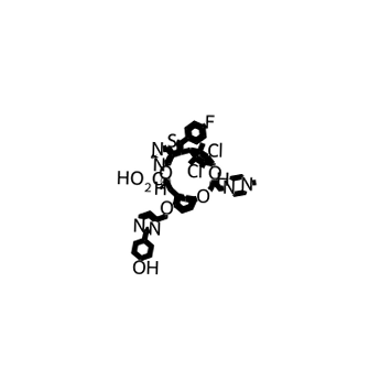 Cc1c(Cl)c2c(Cl)c(C)c1-c1c(-c3ccc(F)cc3)sc3ncnc(c13)O[C@@H](C(=O)O)Cc1cc(ccc1OCc1ccnc(C3CCC(O)CC3)n1)OC[C@@H](CN1CCN(C)CC1)O2